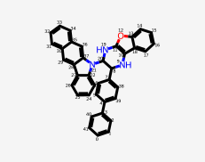 c1ccc(-c2ccc(C3Nc4c(oc5ccccc45)NC3n3c4ccccc4c4cc5ccccc5cc43)cc2)cc1